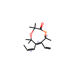 C=CC1=C(\C=C/C)C(C)(C)OC(C)(C)C(=O)/P=C\1C